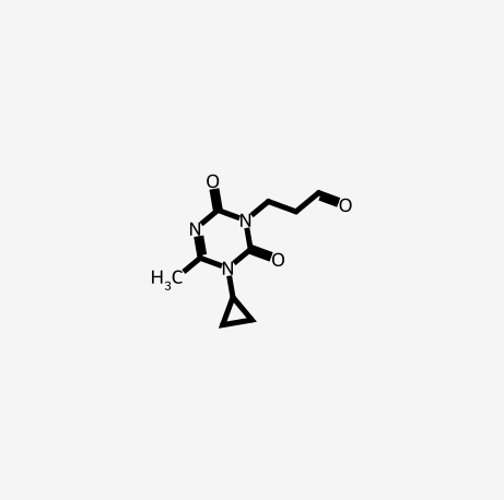 Cc1nc(=O)n(CCC=O)c(=O)n1C1CC1